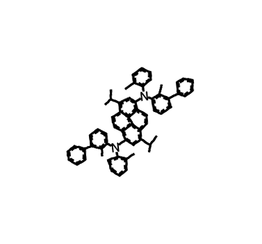 Cc1ccccc1N(c1cccc(-c2ccccc2)c1C)c1cc(C(C)C)c2ccc3c(N(c4ccccc4C)c4cccc(-c5ccccc5)c4C)cc(C(C)C)c4ccc1c2c43